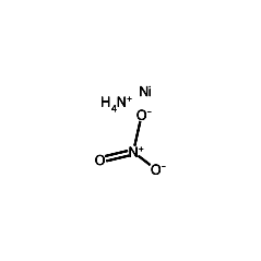 O=[N+]([O-])[O-].[NH4+].[Ni]